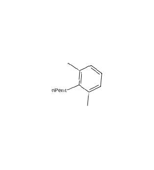 CC[CH]CCc1c(C)cccc1C